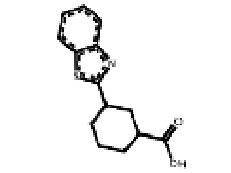 O=C(O)C1CCCC(c2nc3ccccc3s2)C1